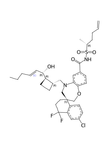 C=CCC[C@@H](C)S(=O)(=O)NC(=O)c1ccc2c(c1)N(C[C@@H]1CC[C@H]1[C@@H](O)/C=C/CCC)C[C@@]1(CCC(F)(F)c3cc(Cl)ccc31)CO2